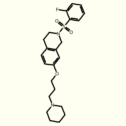 O=S(=O)(c1ccccc1F)N1CCc2ccc(OCCCN3CCCCC3)cc2C1